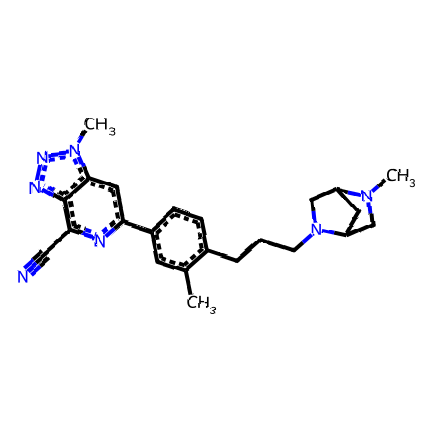 Cc1cc(-c2cc3c(nnn3C)c(C#N)n2)ccc1CCCN1CC2CC1CN2C